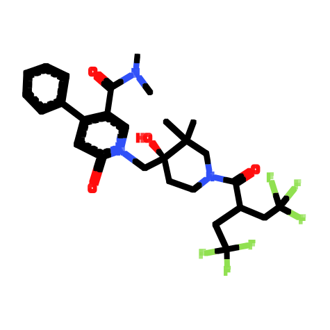 CN(C)C(=O)c1cn(C[C@@]2(O)CCN(C(=O)C(CC(F)(F)F)CC(F)(F)F)CC2(C)C)c(=O)cc1-c1ccccc1